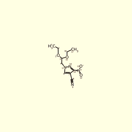 CCOC(Cn1cc(C#N)c([N+](=O)[O-])n1)OCC